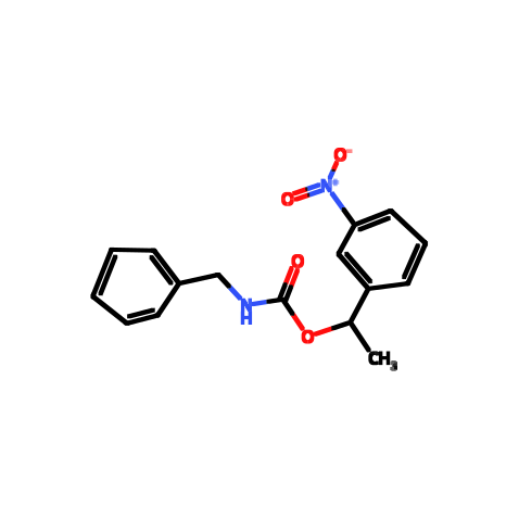 CC(OC(=O)NCc1ccccc1)c1cccc([N+](=O)[O-])c1